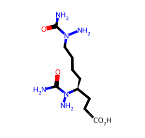 NC(=O)N(N)CCCC[C@@H](CCC(=O)O)N(N)C(N)=O